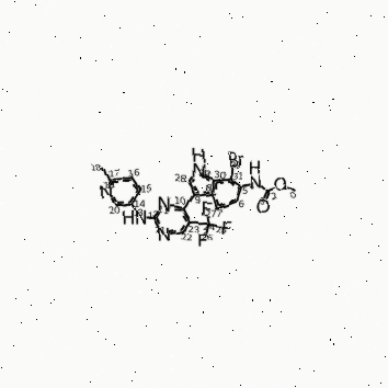 COC(=O)Nc1ccc2c(-c3nc(Nc4ccc(C)nc4)ncc3C(F)(F)F)c[nH]c2c1Br